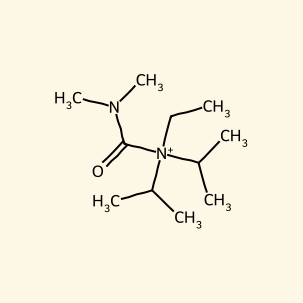 CC[N+](C(=O)N(C)C)(C(C)C)C(C)C